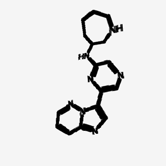 c1cnn2c(-c3cncc(NC4CCCCNC4)n3)cnc2c1